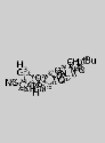 Cc1ccc(NS(=O)(=O)c2ccc(S(=O)(=O)N3CCN(C(=O)OC(C)(C)C)C(C)C3)cc2)c2[nH]cc(C#N)c12